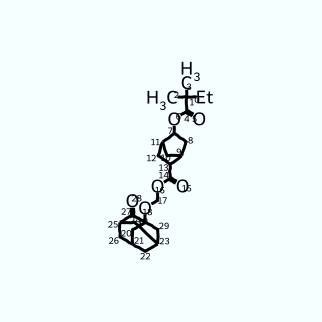 CCC(C)(C)C(=O)OC1CC2CC1CC2C(=O)OCOC12CC3CC(CC(C3)C1=O)C2